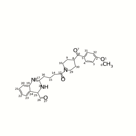 COc1ccc(C(=O)C2CCN(C(=O)CCCC3=Nc4ccccc4C(C=O)N3)CC2)cc1